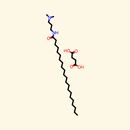 CCCCCCCCCCCCCCCCCCCCCC(=O)NCCCN(C)C.O=C(O)CCC(=O)O